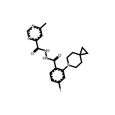 Cc1cc(C(=O)NNC(=O)c2ccc(I)cc2N2CCC3(CC2)CC3)ncn1